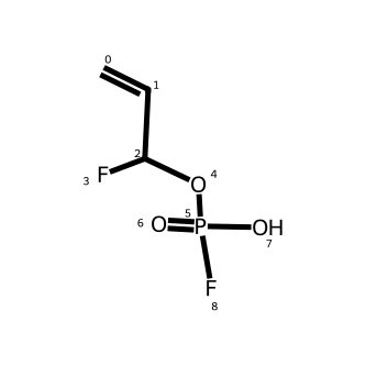 C=CC(F)OP(=O)(O)F